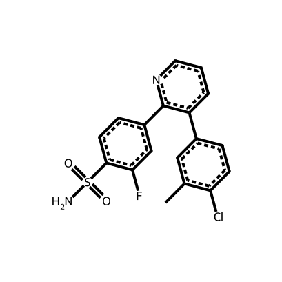 Cc1cc(-c2cccnc2-c2ccc(S(N)(=O)=O)c(F)c2)ccc1Cl